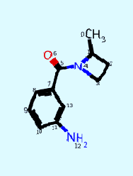 CC1CCN1C(=O)c1cccc(N)c1